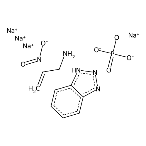 C=CCN.O=N[O-].O=P([O-])([O-])[O-].[Na+].[Na+].[Na+].[Na+].c1ccc2[nH]nnc2c1